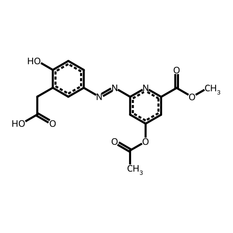 COC(=O)c1cc(OC(C)=O)cc(/N=N/c2ccc(O)c(CC(=O)O)c2)n1